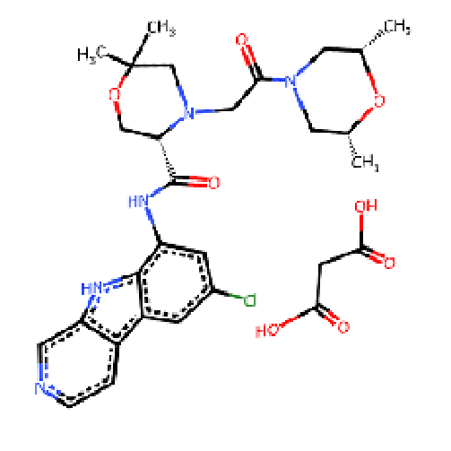 C[C@@H]1CN(C(=O)CN2CC(C)(C)OC[C@H]2C(=O)Nc2cc(Cl)cc3c2[nH]c2cnccc23)C[C@H](C)O1.O=C(O)CC(=O)O